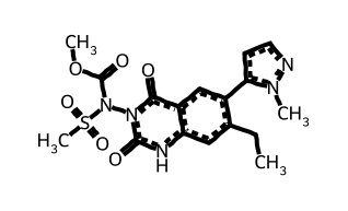 CCc1cc2[nH]c(=O)n(N(C(=O)OC)S(C)(=O)=O)c(=O)c2cc1-c1ccnn1C